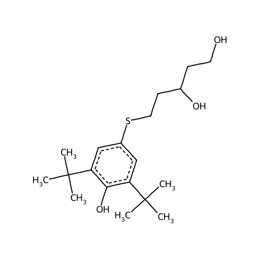 CC(C)(C)c1cc(SCCC(O)CCO)cc(C(C)(C)C)c1O